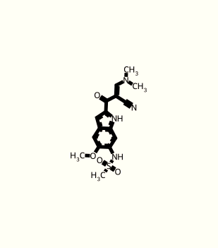 COc1cc2cc(C(=O)C(C#N)=CN(C)C)[nH]c2cc1NS(C)(=O)=O